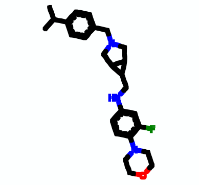 CC(C)c1ccc(CN2CC3C(CNc4ccc(N5CCOCC5)c(F)c4)C3C2)cc1